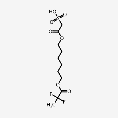 CC(F)(F)C(=O)OCCCCCCOC(=O)CS(=O)(=O)O